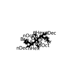 CCCCCCCCCCCCc1cc(C2=C3C(=O)N(CC(CCCCCC)CCCCCCCC)C(c4cc(CCCCCCCCCCCC)c(-c5ccc(Br)s5)s4)=C3C(=O)N2CC(CCCCCC)CCCCCCCC)sc1-c1ccc(Br)s1